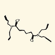 C=CCN(CC=C)C(=O)CCCCC(=O)N(CC=C)CC=C